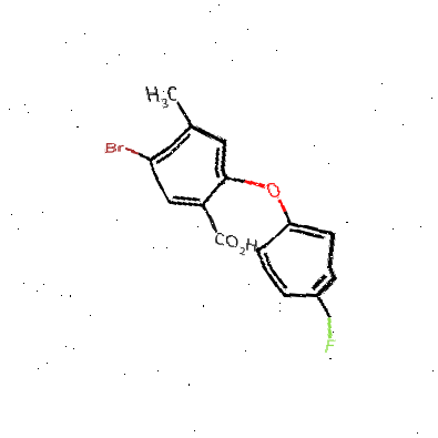 Cc1cc(Oc2ccc(F)cc2)c(C(=O)O)cc1Br